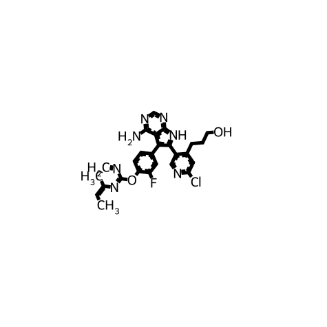 C=N/C(=N\C(C)=C/C)Oc1ccc(-c2c(-c3cnc(Cl)cc3CCCO)[nH]c3ncnc(N)c23)cc1F